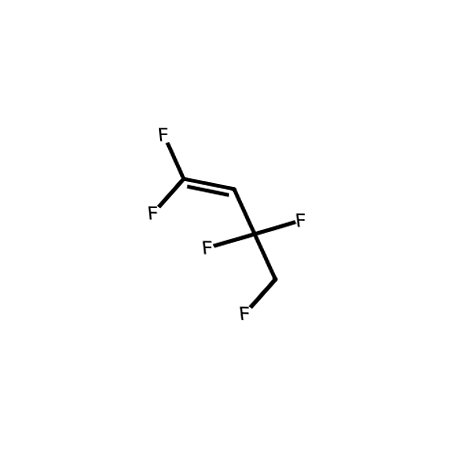 FCC(F)(F)C=C(F)F